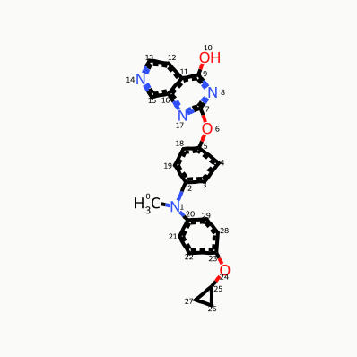 CN(c1ccc(Oc2nc(O)c3ccncc3n2)cc1)c1ccc(OC2CC2)cc1